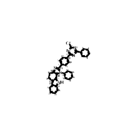 Clc1nc(-c2ccccc2)nc(-c2ccc(-c3nc4ccc5c6ccccc6[nH]c5c4n3-c3ccccc3)cc2)n1